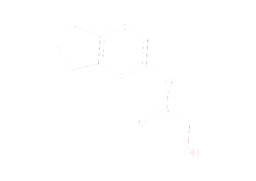 O=C(CO)Oc1ccc2c(c1)CCC2